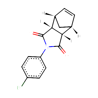 O=C1[C@@H]2[C@H](C(=O)N1c1ccc(Br)cc1)[C@@H]1C=C[C@H]2C1